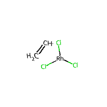 [CH]=C.[Cl][Rh]([Cl])[Cl]